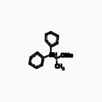 COC(C)[SiH](c1ccccc1)c1ccccc1